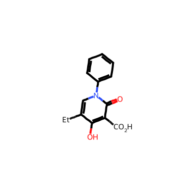 CCc1cn(-c2ccccc2)c(=O)c(C(=O)O)c1O